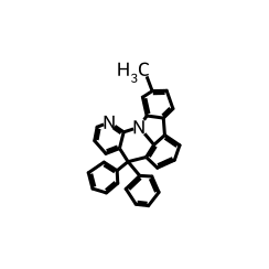 Cc1ccc2c3cccc4c3n(c2c1)-c1ncccc1C4(c1ccccc1)c1ccccc1